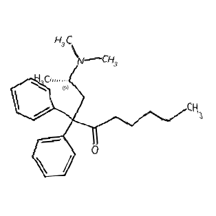 CCCCCC(=O)C(C[C@H](C)N(C)C)(c1ccccc1)c1ccccc1